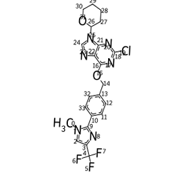 Cn1cc(C(F)(F)F)nc1-c1ccc(COc2nc(Cl)nc3c2ncn3C2CCCCO2)cc1